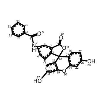 O=C(Nc1ccc2c(c1)C(=O)OC21c2ccc(O)cc2Oc2cc(O)ccc21)c1ccccc1